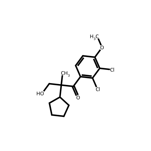 COc1ccc(C(=O)C(C)(CO)C2CCCC2)c(Cl)c1Cl